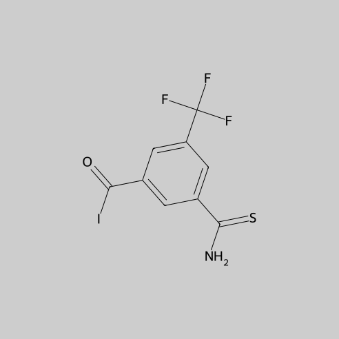 NC(=S)c1cc(C(=O)I)cc(C(F)(F)F)c1